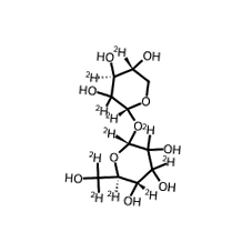 [2H]C1(O)C([2H])(O)[C@]([2H])(O)[C@@]([2H])(C([2H])([2H])O)O[C@]1([2H])O[C@@]1([2H])OC[C@@]([2H])(O)[C@]([2H])(O)C1([2H])O